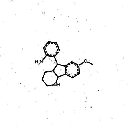 COc1ccc2c(c1)C(c1ccccc1N)C1CCCNC21